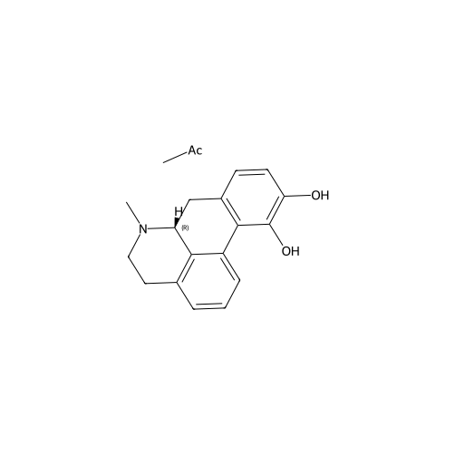 CC(C)=O.CN1CCc2cccc3c2[C@H]1Cc1ccc(O)c(O)c1-3